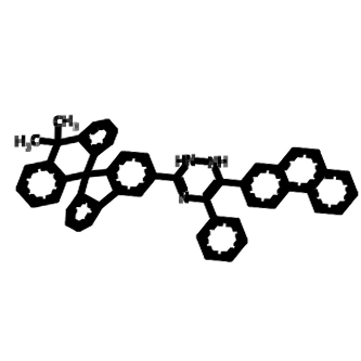 CC1(C)c2ccccc2C2(c3ccccc3-c3cc(C4=NC(c5ccccc5)=C(c5ccc6c(ccc7ccccc76)c5)NN4)ccc32)c2ccccc21